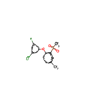 O=S(=O)(c1cc(C(F)(F)F)ccc1Oc1cc(F)cc(Cl)c1)C(F)(F)F